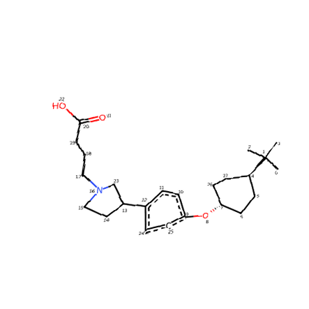 CC(C)(C)[C@H]1CC[C@H](Oc2ccc(C3CCN(CCCC(=O)O)C3)cc2)CC1